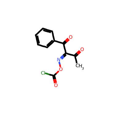 CC(=O)C(=NOC(=O)Cl)C(=O)c1ccccc1